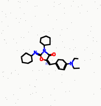 CCN(CC)C1=CC=C(/C=C2/OC(=NC3CCCCC3)N(C3CCCCC3)C2=O)CC1